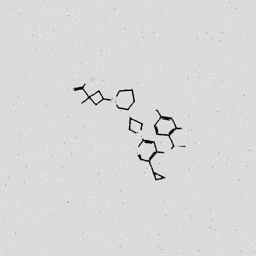 C[C@@H](Oc1cc(N2CC([C@H]3CCCN(C4CC(C)(C(=O)O)C4)C3)C2)ncc1C1CC1)c1ccc(Cl)cc1Cl